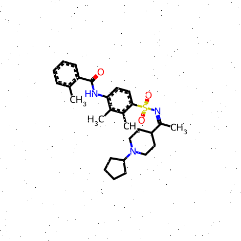 C/C(=N/S(=O)(=O)c1ccc(NC(=O)c2ccccc2C)c(C)c1C)C1CCN(C2CCCC2)CC1